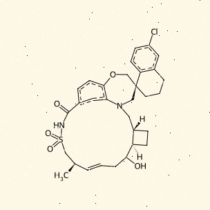 C[C@@H]1/C=C/CC(O)[C@@H]2CC[C@H]2CN2C[C@@]3(CCCc4cc(Cl)ccc43)COc3ccc(cc32)C(=O)NS(=O)(=O)C1